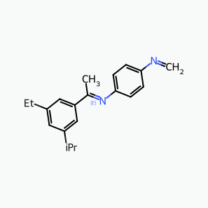 C=Nc1ccc(/N=C(\C)c2cc(CC)cc(C(C)C)c2)cc1